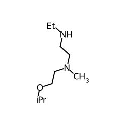 CCNCCN(C)CCOC(C)C